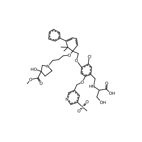 COC(=O)C1(O)CCN(CCCOC2(COc3cc(OCc4cncc(S(C)(=O)=O)c4)c(CNC(CO)C(=O)O)cc3Cl)C=CC=C(c3ccccc3)C2(C)C)C1